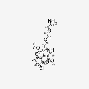 CCOC(=O)C1=C(CCOCCOCCN)NC(C)=C(C(=O)OC)[C@H]1c1cccc(Cl)c1Cl